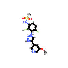 CCCS(=O)(=O)Nc1ccc(F)c(-n2cc(-c3cncc(OCC)c3)nn2)c1F